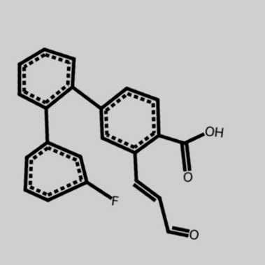 O=C/C=C/c1cc(-c2ccccc2-c2cccc(F)c2)ccc1C(=O)O